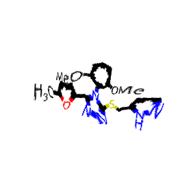 COc1cccc(OC)c1-n1c(SCc2ccn[nH]2)nnc1-c1ccc(C)o1